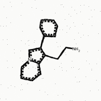 NCCc1c(-c2ccccc2)cn2ccccc12